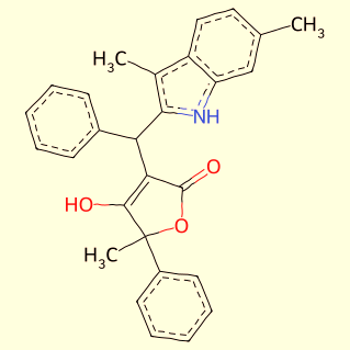 Cc1ccc2c(C)c(C(C3=C(O)C(C)(c4ccccc4)OC3=O)c3ccccc3)[nH]c2c1